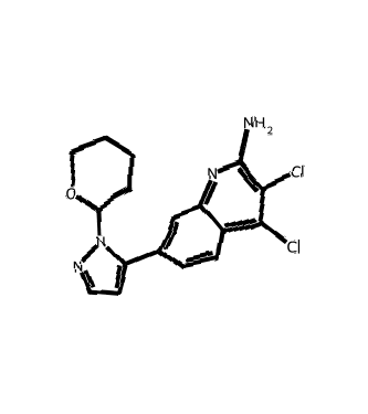 Nc1nc2cc(-c3ccnn3C3CCCCO3)ccc2c(Cl)c1Cl